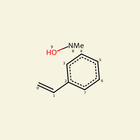 C=Cc1ccccc1.CNO